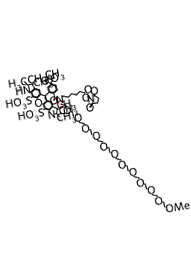 COCCOCCOCCOCCOCCOCCOCCOCCOCCOCCOCCOCCN(CCCCCC(=O)ON1C(=O)CCC1=O)C(=O)c1ccc(S(C)(=O)=O)cc1C1=c2cc3c(c(S(=O)(=O)O)c2Oc2c1cc1c(c2S(=O)(=O)O)NC(C)C1(C)C)=NC(C)C3(C)C